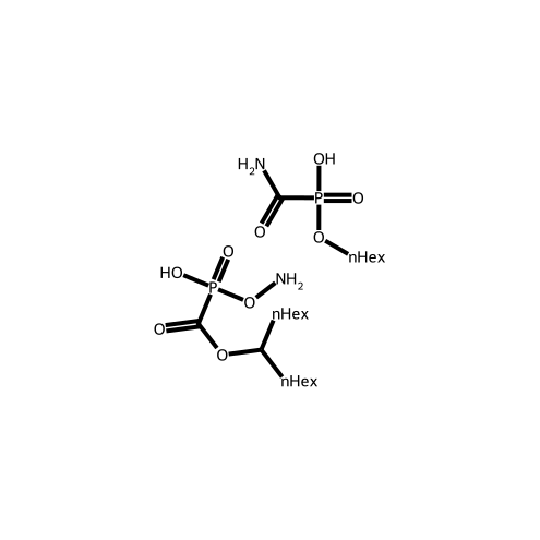 CCCCCCC(CCCCCC)OC(=O)P(=O)(O)ON.CCCCCCOP(=O)(O)C(N)=O